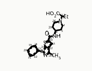 CCC(C(=O)O)N1CCC(NC(=O)c2cc3c(C)nn(-c4ccccc4)c3s2)CC1